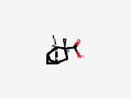 O=C(O)[C@@H]1CC23CC[C@H]1C(C2)C3